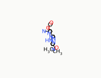 CN(C)C(=O)c1ccc(Nc2nccc(-c3ccc(OC4CCOCC4)c(C#N)n3)n2)nc1